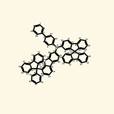 c1ccc(-c2ccc(N(c3ccc4c(c3)C3(c5ccccc5-c5ccccc53)c3ccccc3-4)c3ccc4c(c3)oc3c(C5(c6ccccc6)c6ccccc6-c6ccccc65)cccc34)cc2)cc1